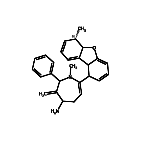 C=C1C(N)CC=C(C2C=CC=C3OC4C(=CC=C[C@@H]4C)C32)N(C)C1c1ccccc1